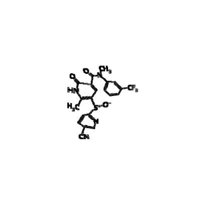 Cc1[nH]c(=O)c(C(=O)N(C)c2cccc(C(F)(F)F)c2)cc1[S+]([O-])c1ccc(C#N)cn1